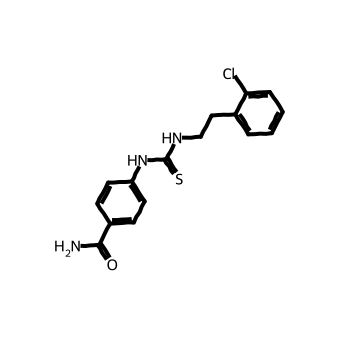 NC(=O)c1ccc(NC(=S)NCCc2ccccc2Cl)cc1